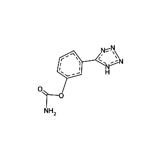 NC(=O)Oc1cccc(-c2nnn[nH]2)c1